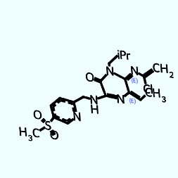 C=C(Cl)/N=C1\C(=C/C)N=C(NCc2ccc(S(C)(=O)=O)cn2)C(=O)N1CC(C)C